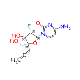 C=C=C[C@]1(CO)O[C@@H](n2ccc(N)nc2=O)[C@@H](F)[C@@H]1O